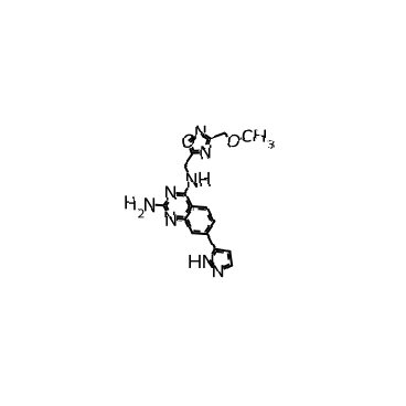 COCc1noc(CNc2nc(N)nc3cc(-c4ccn[nH]4)ccc23)n1